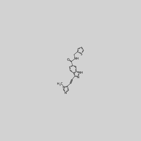 Cn1cncc1C#Cc1n[nH]c2cc(C(=O)NCc3cccs3)ccc12